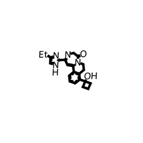 CCc1c[nH]c(C2=NCC(=O)N3CCc4c(cccc4C4(O)CCC4)C3=C2)n1